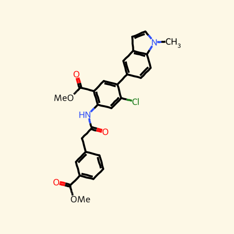 COC(=O)c1cccc(CC(=O)Nc2cc(Cl)c(-c3ccc4c(ccn4C)c3)cc2C(=O)OC)c1